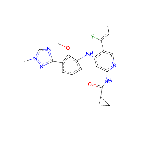 C/C=C(\F)c1cnc(NC(=O)C2CC2)cc1Nc1cccc(-c2ncn(C)n2)c1OC